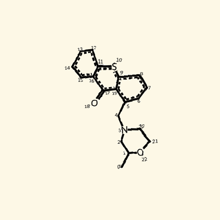 CC1CN(Cc2cccc3sc4ccccc4c(=O)c23)CCO1